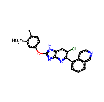 Cc1ccc(Oc2nc3nc(-c4cccc5cnccc45)c(Cl)cc3[nH]2)cc1C(=O)O